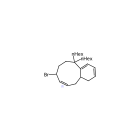 CCCCCCC1(CCCCCC)CCC(Br)/C=C\CC2CC=CC=C21